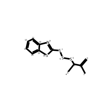 C=C(C)C(I)SSSc1nc2ccccc2s1